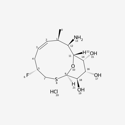 C[C@@H]1/C=C\C[C@@H](F)CS[C@H]2O[C@H]([C@@H]1N)[C@H](O)[C@H](O)[C@H]2O.Cl